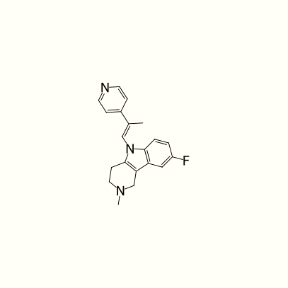 CC(=Cn1c2c(c3cc(F)ccc31)CN(C)CC2)c1ccncc1